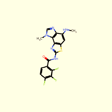 CNc1cc2sc(NC(=O)c3ccc(F)c(F)c3F)nc2c2c1ncn2C